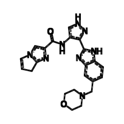 O=C(Nc1c[nH]nc1-c1nc2cc(CN3CCOCC3)ccc2[nH]1)c1cn2c(n1)CC=C2